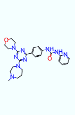 CN1CCCN(c2nc(-c3ccc(NC(=O)Nc4ccccn4)cc3)nc(N3CCOCC3)n2)CC1